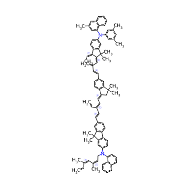 C=C/C(C)=C\C(C)=C/CN(c1ccc2c(c1)C(C)(C)c1cc(/C=C/C(C=C)=C/C=C3\CC(C)(C)c4cc(/C=C/C(=C)/C=C5\C(=C/C)c6ccc(N(c7cc(C)cc(C)c7)c7cc(C)cc8ccccc78)cc6C5(C)C)ccc43)ccc1-2)c1cccc2ccccc12